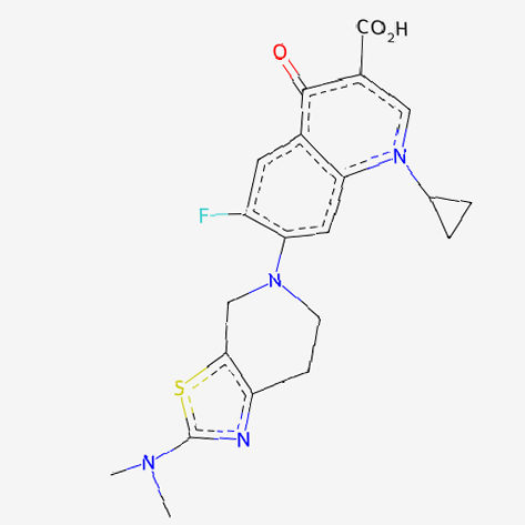 CN(C)c1nc2c(s1)CN(c1cc3c(cc1F)c(=O)c(C(=O)O)cn3C1CC1)CC2